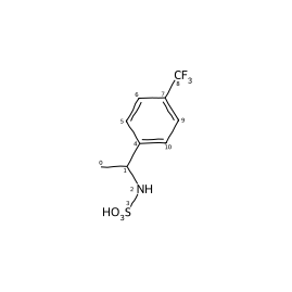 CC(NS(=O)(=O)O)c1ccc(C(F)(F)F)cc1